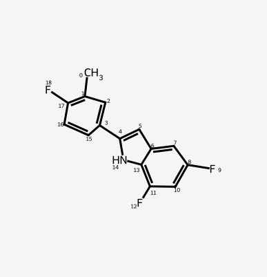 Cc1cc(-c2cc3cc(F)cc(F)c3[nH]2)ccc1F